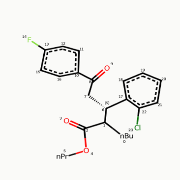 CCCCC(C(=O)OCCC)[C@H](CC(=O)c1ccc(F)cc1)c1ccccc1Cl